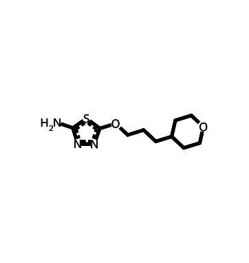 Nc1nnc(OCCCC2CCOCC2)s1